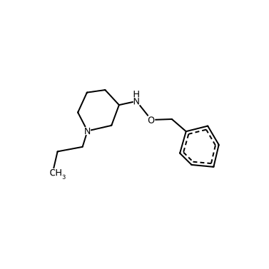 CCCN1CCCC(NOCc2ccccc2)C1